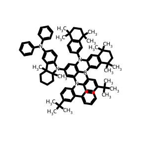 CC(C)(C)c1ccc2c(c1)B1c3cc4c(cc3N(c3ccc5c(c3)C(C)(C)CCC5(C)C)c3cc(N5c6ccc(N(c7ccccc7)c7ccccc7)cc6C6(C)CCCCC56C)cc(c31)N2c1ccc(C(C)(C)C)cc1-c1ccccc1)C(C)(C)CCC4(C)C